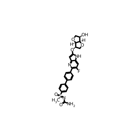 CS(=O)(=NC(N)=O)c1ccc(-c2ccc(-c3nc4cc(O[C@@H]5CO[C@H]6[C@@H]5OC[C@H]6O)[nH]c4cc3F)cc2)cc1